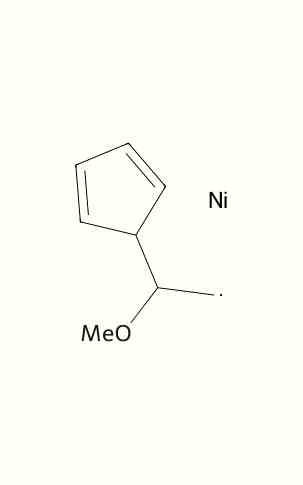 [CH2]C(OC)C1C=CC=C1.[Ni]